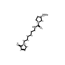 CN[C@@H]1CCN(C(=O)NCCCCCCN2CC=CC2=O)C1